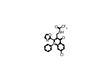 O=C(NCc1c(-c2ncco2)n(-c2ccccc2)c2cc(Cl)ccc2c1=O)C(F)(F)F